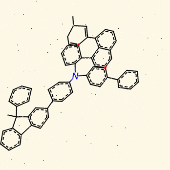 CC1C=C(c2cccc3cccc(-c4ccccc4N(c4ccc(-c5ccccc5)cc4)c4ccc(-c5ccc6c(c5)C(C)(c5ccccc5)c5ccccc5-6)cc4)c23)C=CC1